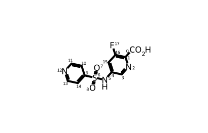 O=C(O)c1ncc(NS(=O)(=O)c2ccncc2)cc1F